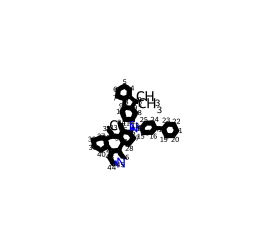 CC1(C)c2ccccc2-c2ccc(N(c3ccc(-c4ccccc4)cc3)c3ccc4c5c(cccc35)-c3ccccc3-c3ccncc3-4)cc21